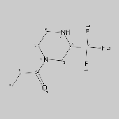 CCC(=O)N1CCN[C@H](C(F)(F)F)C1